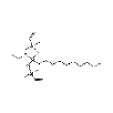 C=C[Si](C)(C)O[Si](CCCCCCCCCC)(OCC)O[Si](C)(C)C=C